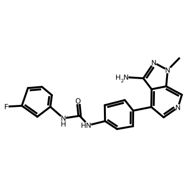 Cn1nc(N)c2c(-c3ccc(NC(=O)Nc4cccc(F)c4)cc3)cncc21